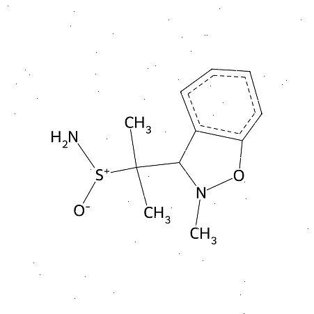 CN1Oc2ccccc2C1C(C)(C)[S+](N)[O-]